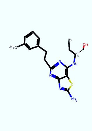 COc1cccc(CCc2nc(N[C@@H](CO)CC(C)C)c3sc(N)nc3n2)c1